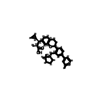 Cc1cc(-c2ccc(C3CCc4ccc([C@H](C5CC5)[C@H](C)C(=O)O)cc4O3)c(CN3CCCC3(C)C)c2)ccn1